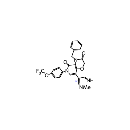 CN/C=C(\C=N)c1cn(-c2ccc(OC(F)(F)F)cc2)c(=O)c2c1OCC(=O)N2Cc1ccccc1